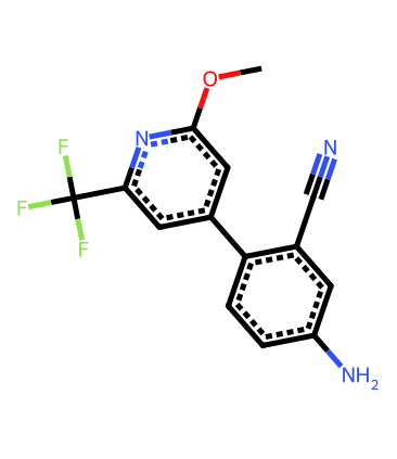 COc1cc(-c2ccc(N)cc2C#N)cc(C(F)(F)F)n1